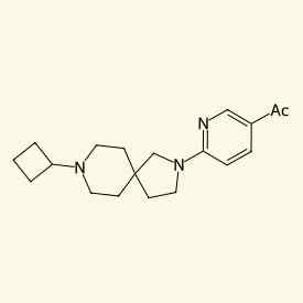 CC(=O)c1ccc(N2CCC3(CCN(C4CCC4)CC3)C2)nc1